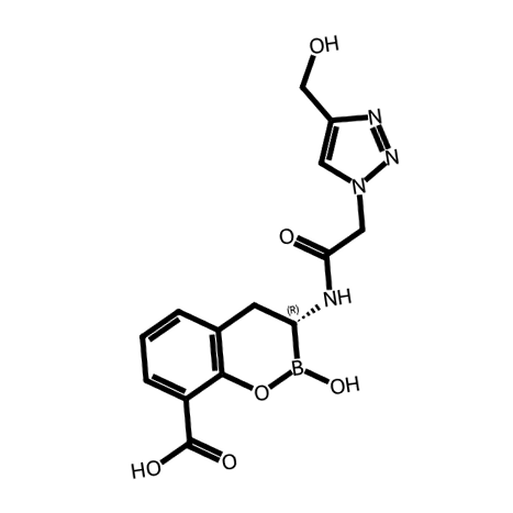 O=C(Cn1cc(CO)nn1)N[C@H]1Cc2cccc(C(=O)O)c2OB1O